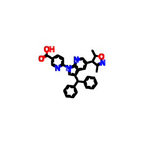 CC1=NOC(C)C1c1cnc2c(c1)c(C(c1ccccc1)c1ccccc1)cn2-c1ccc(C(=O)O)cn1